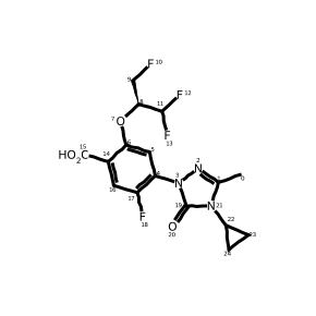 Cc1nn(-c2cc(O[C@@H](CF)C(F)F)c(C(=O)O)cc2F)c(=O)n1C1CC1